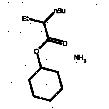 CCCCC(CC)C(=O)OC1CCCCC1.N